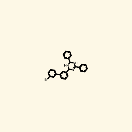 Brc1cccc(-c2cccc(C3N=C(c4ccccc4)NC(c4ccccc4)N3)c2)c1